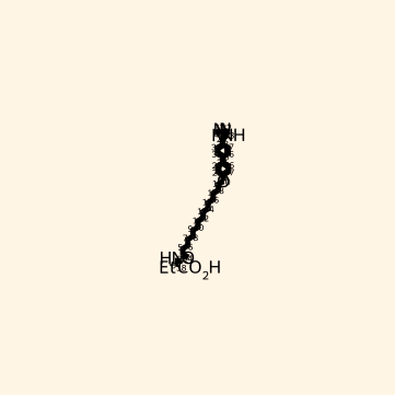 CCC(NC(=O)CCCCCCCCCCCCCCCOc1ccc(-c2ccc(-c3nnn[nH]3)cc2)cc1)C(=O)O